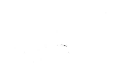 CCCOc1ccc([C@H]2CCN(C(=O)OC(C)(C)C)C[C@@H]2C(=O)O)cc1